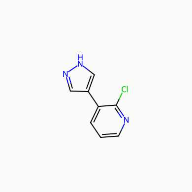 Clc1ncccc1-c1cn[nH]c1